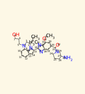 CCC1CN(CCCO)c2cccc3cc(-c4nc5cc(C(=O)N6CCCC(N)C6)cc(OC)c5n4C)n1c23